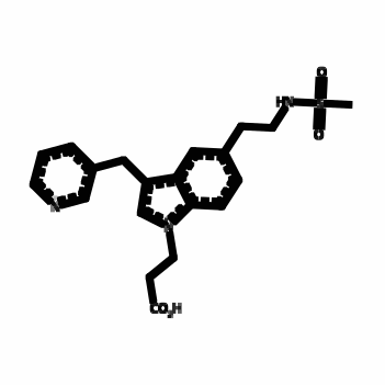 CS(=O)(=O)NCCc1ccc2c(c1)c(Cc1cccnc1)cn2CCC(=O)O